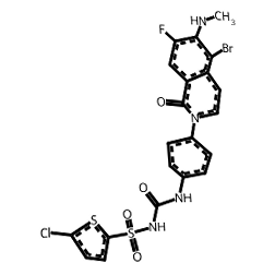 CNc1c(F)cc2c(=O)n(-c3ccc(NC(=O)NS(=O)(=O)c4ccc(Cl)s4)cc3)ccc2c1Br